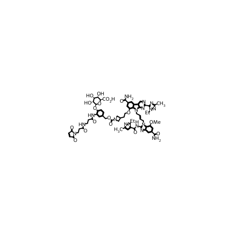 CCn1nc(C)cc1C(=O)Nc1nc2cc(C(N)=O)cc(OC)c2n1C/C=C/Cn1c2nc(-c3nc(C)nn3CC)ncc2c2cc(C(N)=O)cc(OCCC3CN(C(=O)OCc4ccc(O[C@@H]5O[C@H](C(=O)O)[C@@H](O)[C@H](O)[C@H]5O)c(NC(=O)CCNC(=O)CCN5C(=O)C=CC5=O)c4)C3)c21